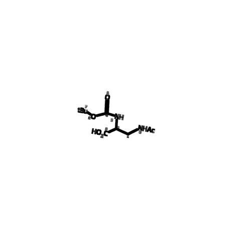 CC(=O)NCC(NC(=O)OC(C)(C)C)C(=O)O